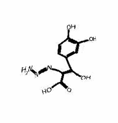 NN=NC(C(=O)O)C(O)c1ccc(O)c(O)c1